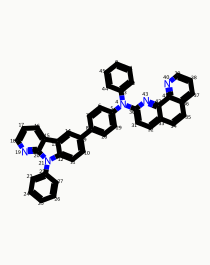 c1ccc(N(c2ccc(-c3ccc4c(c3)c3cccnc3n4-c3ccccc3)cc2)c2ccc3ccc4cccnc4c3n2)cc1